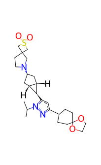 CC(C)n1nc(C2CCC3(CC2)OCCO3)cc1[C@H]1[C@@H]2C[C@@H](N3CCC4(C3)CS(=O)(=O)C4)C[C@@H]21